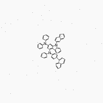 c1ccc(N(c2ccccc2)c2cc(N(c3ccccc3)c3ccc(-c4cccc5ccccc45)cc3)c3c4ccccc4n(-c4ccc5ccccc5c4)c3c2)cc1